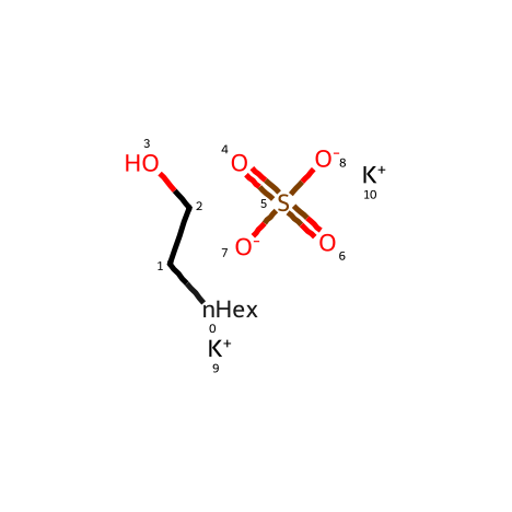 CCCCCCCCO.O=S(=O)([O-])[O-].[K+].[K+]